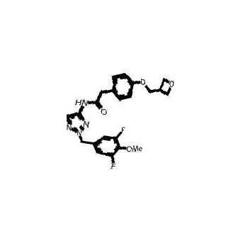 COc1c(F)cc(Cn2ncc(NC(=O)Cc3ccc(OCC4COC4)cc3)n2)cc1F